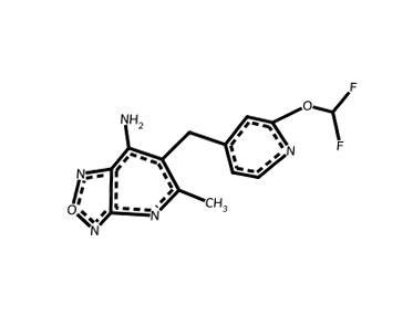 Cc1nc2nonc2c(N)c1Cc1ccnc(OC(F)F)c1